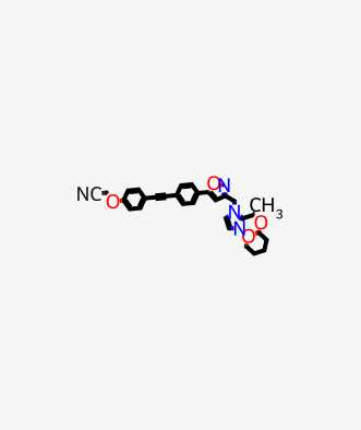 C[C@H](OC1CCCCO1)c1nccn1Cc1cc(-c2ccc(C#Cc3ccc(OCC#N)cc3)cc2)on1